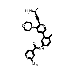 Cc1ccc(NC(=O)c2ccnc(C(F)(F)F)c2)cc1-c1cnc(C#C[C@H](C)N)c(N2CCOCC2)c1